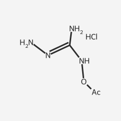 CC(=O)ONC(N)=NN.Cl